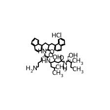 CCC(C)[C@@H](CO)NC(=O)CC(O)C(CC(C)C)NC(=O)[C@H](CCCCN)NC(=O)C(Cc1cccc2ccccc12)Cc1cccc2ccccc12.Cl